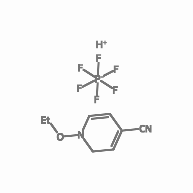 CCON1C=CC(C#N)=CC1.F[P-](F)(F)(F)(F)F.[H+]